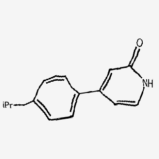 CC(C)c1ccc(-c2cc[nH]c(=O)c2)cc1